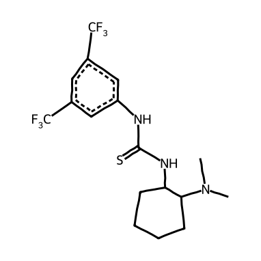 CN(C)C1CCCCC1NC(=S)Nc1cc(C(F)(F)F)cc(C(F)(F)F)c1